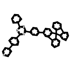 c1ccc(-c2nc(-c3ccc(-c4ccncc4)cc3)nc(-c3ccc(-c4ccc5c(c4)-c4ccccc4C54c5ccccc5-c5ccccc54)cc3)n2)cc1